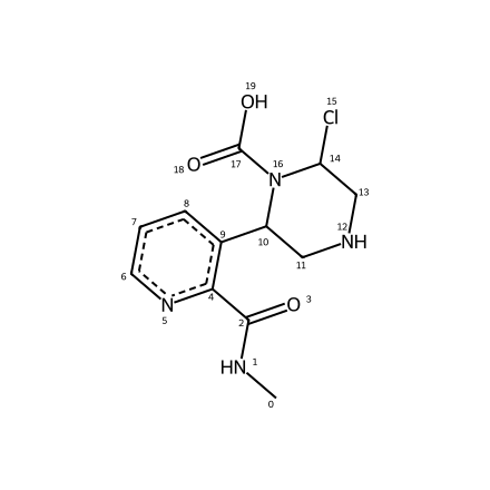 CNC(=O)c1ncccc1C1CNCC(Cl)N1C(=O)O